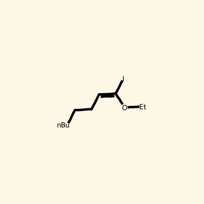 CCCCCC/C=C(/I)OCC